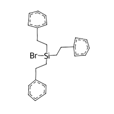 Br[Si](CCc1ccccc1)(CCc1ccccc1)CCc1ccccc1